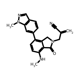 C=C(C#N)CN1Cc2c(-c3ccc4cnn(C)c4c3)ccc(NC)c2C1=O